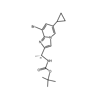 C[C@@H](NC(=O)OC(C)(C)C)c1cn2cc(C3CC3)cc(Br)c2n1